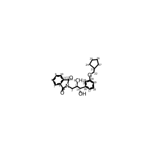 C[C@H](CN1C(=O)c2ccccc2C1=O)[C@@H](O)c1cccc(OCC2CCCC2)c1